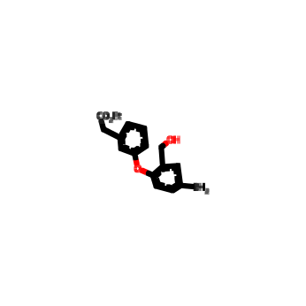 Bc1ccc(Oc2cccc(CC(=O)OCC)c2)c(CO)c1